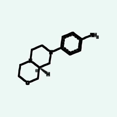 Nc1ccc(N2CCN3CCOC[C@@H]3C2)cc1